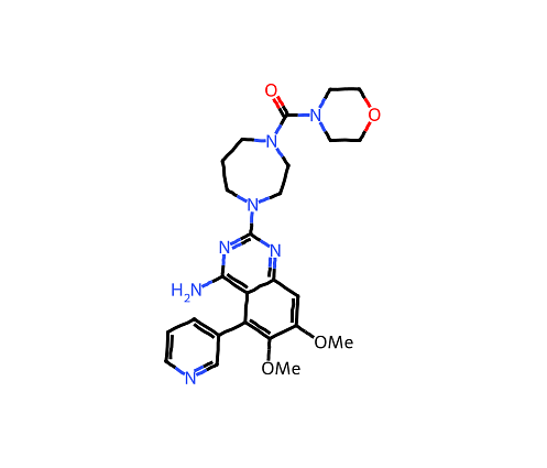 COc1cc2nc(N3CCCN(C(=O)N4CCOCC4)CC3)nc(N)c2c(-c2cccnc2)c1OC